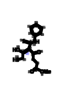 COC(=O)CCC(=O)/C(C(=S)Nc1ccccc1)=C(/O)CS